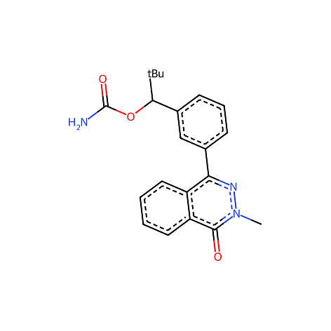 Cn1nc(-c2cccc(C(OC(N)=O)C(C)(C)C)c2)c2ccccc2c1=O